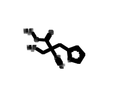 [C-]#[N+]C(CC)(Cc1cccs1)C(=O)OC